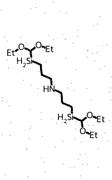 CCOC(OCC)[SiH2]CCCNCCC[SiH2]C(OCC)OCC